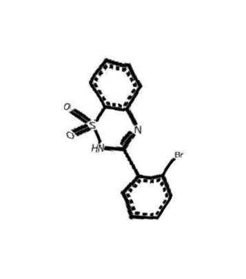 O=S1(=O)NC(c2ccccc2Br)=Nc2ccccc21